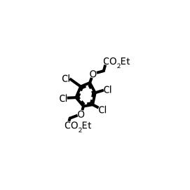 CCOC(=O)COc1c(Cl)c(Cl)c(OCC(=O)OCC)c(Cl)c1Cl